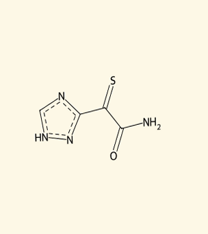 NC(=O)C(=S)c1nc[nH]n1